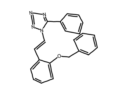 C(=Cn1nnnc1-c1ccccc1)c1ccccc1OCc1ccccc1